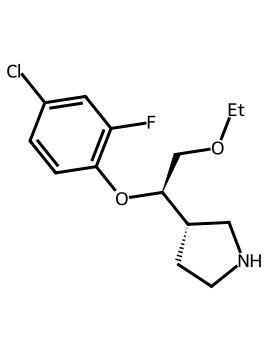 CCOC[C@H](Oc1ccc(Cl)cc1F)[C@H]1CCNC1